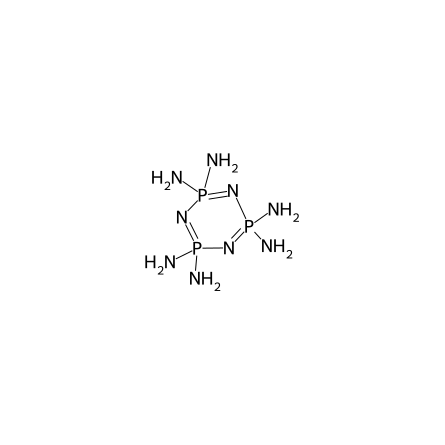 NP1(N)=NP(N)(N)=NP(N)(N)=N1